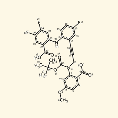 COc1ccc([N+](=O)[O-])c(N(CC#Cc2cc(F)ccc2Nc2cc(F)c(F)cc2C(=O)O)C(=O)OC(C)(C)C)n1